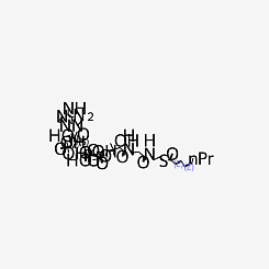 CCC/C=C\C=C\C(=O)SCCNC(=O)CCNC(=O)C(O)C(C)(C)COP(=O)(O)OP(=O)(O)OC[C@H]1OC(n2cnc3c(N)ncnc32)[C@H](O)[C@@H]1CP(=O)(O)O